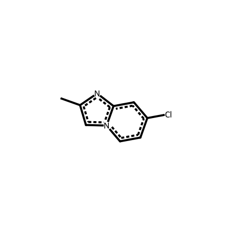 Cc1cn2ccc(Cl)cc2n1